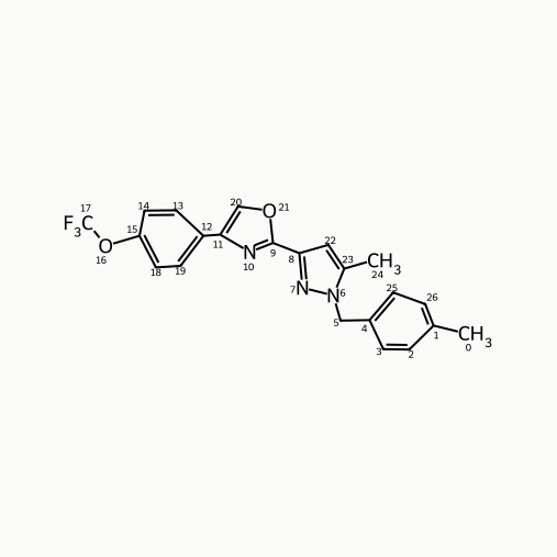 Cc1ccc(Cn2nc(-c3nc(-c4ccc(OC(F)(F)F)cc4)co3)cc2C)cc1